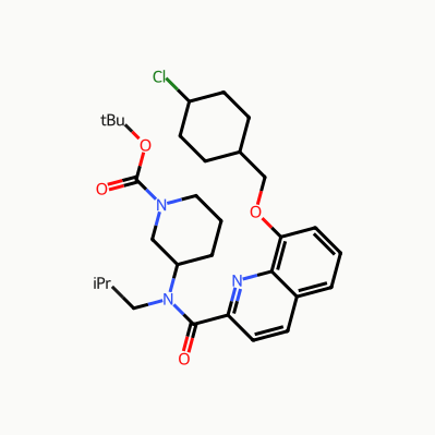 CC(C)CN(C(=O)c1ccc2cccc(OCC3CCC(Cl)CC3)c2n1)C1CCCN(C(=O)OC(C)(C)C)C1